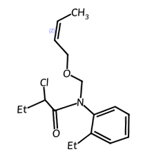 C/C=C\COCN(C(=O)C(Cl)CC)c1ccccc1CC